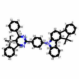 CC1(C)c2ccccc2-c2ccc3c(c21)c1ccccc1n3-c1ccc(-c2nc(-c3ccccc3)c3c(n2)-c2ccccc2[Si]3(C)C)cc1